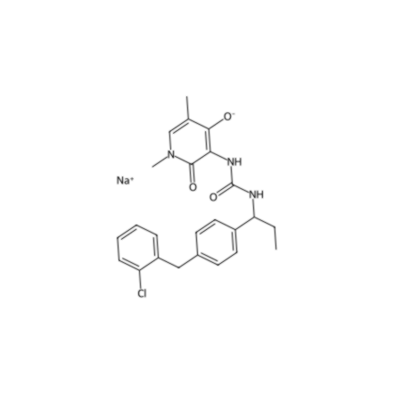 CCC(NC(=O)Nc1c([O-])c(C)cn(C)c1=O)c1ccc(Cc2ccccc2Cl)cc1.[Na+]